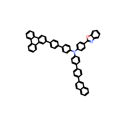 c1ccc2cc(-c3ccc(-c4ccc(N(c5ccc(-c6ccc(-c7ccc8c9ccccc9c9ccccc9c8c7)cc6)cc5)c5ccc(-c6nc7ccccc7o6)cc5)cc4)cc3)ccc2c1